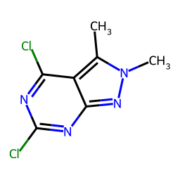 Cc1c2c(Cl)nc(Cl)nc2nn1C